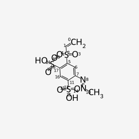 C=CS(=O)(=O)c1cc(/N=N/C)c(S(=O)(=O)O)cc1S(=O)(=O)O